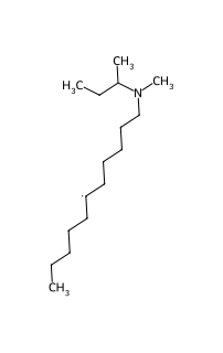 CCCCC[CH]CCCCCN(C)C(C)CC